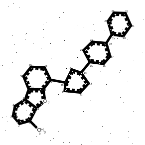 Cc1cccc2c1oc1c(-c3cccc(-c4ccc(-c5ccccc5)cc4)c3)cccc12